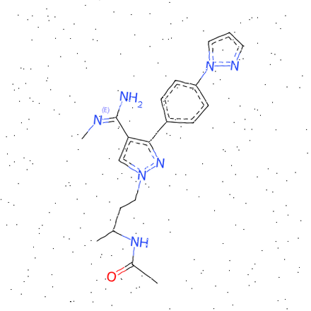 C/N=C(/N)c1cn(CCC(C)NC(C)=O)nc1-c1ccc(-n2cccn2)cc1